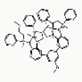 CCCC[PH](C)(c1ccccc1)N(CCCc1cc(CCCN([PH](C)(CCCC)c2ccccc2)[PH]2(C)[C@H](c3ccccc3)CC[C@H]2c2ccccc2)cc(OC)c1)[PH]1(C)[C@@H](c2ccccc2)CC[C@@H]1c1ccccc1